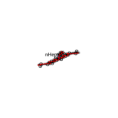 C=CC(=O)OCCCCCCOc1ccc(OC(=O)[C@H]2CC[C@H](C(=O)Oc3ccc(OC(=O)[C@H]4CC[C@H](C(=O)Oc5ccc(OCCCCCCOC(=O)C=C)cc5)CC4)c(/C=N/N(CCCCCCC)c4nc5ccccc5s4)c3)CC2)cc1